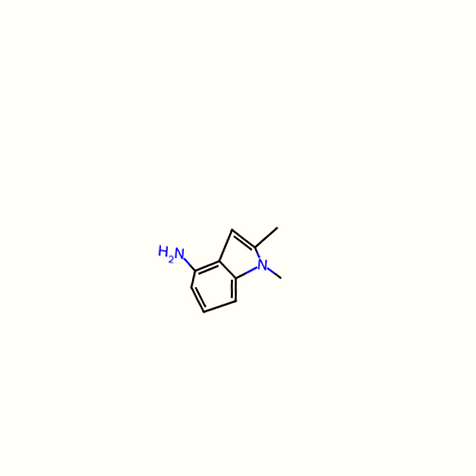 Cc1cc2c(N)cccc2n1C